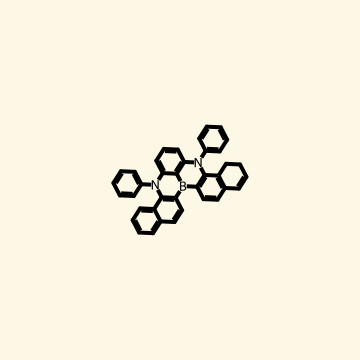 C1=Cc2ccc3c(c2CC1)N(c1ccccc1)c1cccc2c1B3c1ccc3ccccc3c1N2c1ccccc1